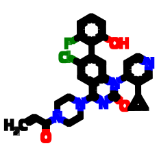 C=CC(=O)N1CCN(c2nc(=O)n(-c3ccncc3C3CC3)c3cc(-c4c(O)cccc4F)c(Cl)cc23)CC1